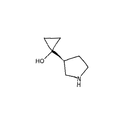 OC1([C@H]2CCNC2)CC1